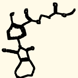 COC(=O)CCOC(=O)c1cc(N2C(=O)C3=C(CCCC3)C2=O)ccc1Cl